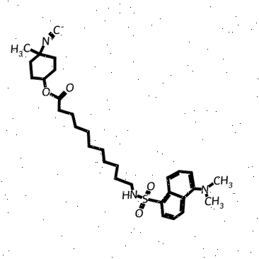 [C-]#[N+]C1(C)CCC(OC(=O)CCCCCCCCCCNS(=O)(=O)c2cccc3c(N(C)C)cccc23)CC1